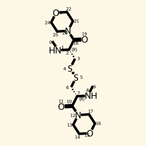 CN[C@@H](CSSC[C@H](NC)C(=O)N1CCOCC1)C(=O)N1CCOCC1